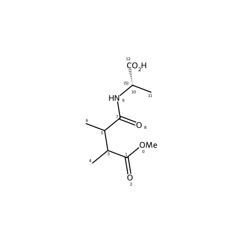 COC(=O)C(C)C(C)C(=O)N[C@@H](C)C(=O)O